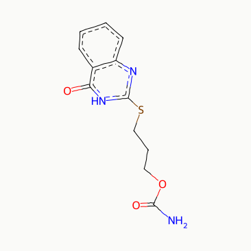 NC(=O)OCCCSc1nc2ccccc2c(=O)[nH]1